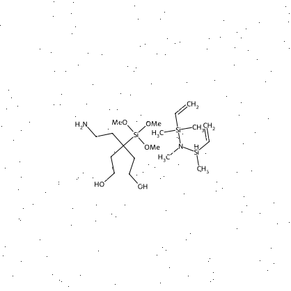 C=C[SiH](C)N(C)[Si](C)(C)C=C.CO[Si](OC)(OC)C(CCN)(CCO)CCO